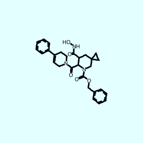 O=C(NO)C1CC2(CC2)CN(C(=O)OCc2ccccc2)C1C(=O)N1CC=C(c2ccccc2)CC1